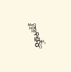 COC[C@@H](O)CNC1=C(C)N(c2nnc(-c3cccc(Cl)c3Cl)c(N)n2)CC1